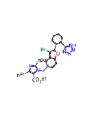 CCCCc1nc(CCC)c(C(=O)OCC)n1Cc1ccc2oc(-c3ccccc3-c3nnn[nH]3)c(Br)c2c1